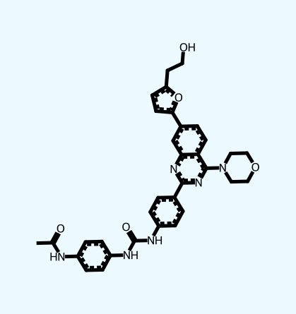 CC(=O)Nc1ccc(NC(=O)Nc2ccc(-c3nc(N4CCOCC4)c4ccc(-c5ccc(CCO)o5)cc4n3)cc2)cc1